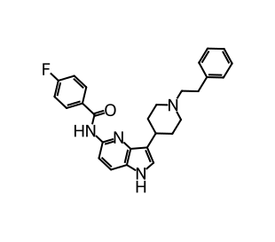 O=C(Nc1ccc2[nH]cc(C3CCN(CCc4ccccc4)CC3)c2n1)c1ccc(F)cc1